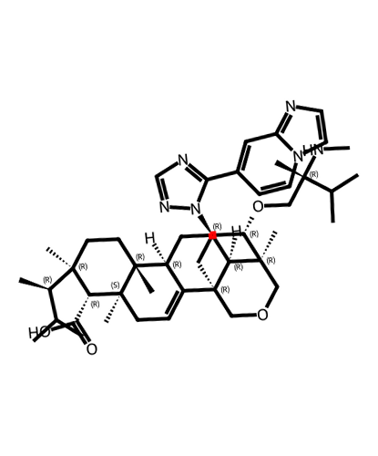 CN[C@@](C)(CO[C@H]1[C@H](n2ncnc2-c2ccn3ccnc3c2)C[C@@]23COC[C@@]1(C)[C@@H]2CC[C@H]1C3=CC[C@@]2(C)[C@H](C(=O)O)[C@@](C)([C@H](C)C(C)C)CC[C@]12C)C(C)C